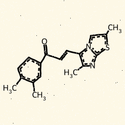 Cc1cn2c(/C=C/C(=O)c3ccc(C)c(C)c3)c(C)nc2s1